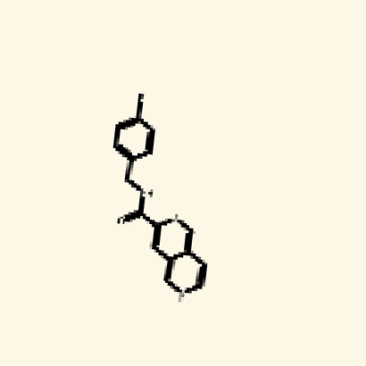 O=C(NCc1ccc(F)cc1)C1=CC2=CNC=CC2=CS1